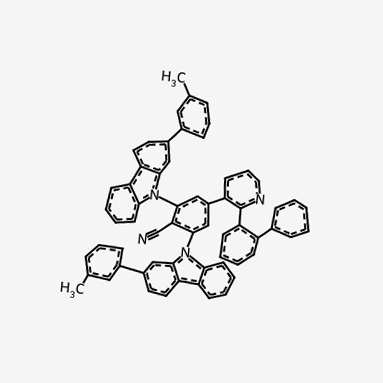 Cc1cccc(-c2ccc3c4ccccc4n(-c4cc(-c5cccnc5-c5ccccc5-c5ccccc5)cc(-n5c6ccccc6c6ccc(-c7cccc(C)c7)cc65)c4C#N)c3c2)c1